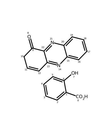 O=C(O)c1ccccc1O.O=C1CC=Cc2nc3ccccc3nc21